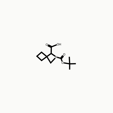 CC(C)(C)OC(=O)N1CC2(CCC2)C1C(=O)O